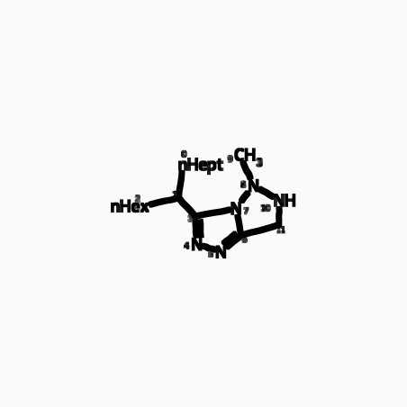 CCCCCCCC(CCCCCC)c1nnc2n1N(C)NC2